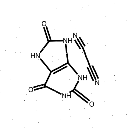 N#CC#N.O=c1[nH]c(=O)c2[nH]c(=O)[nH]c2[nH]1